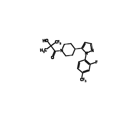 CC(O)(C(=O)N1CCC(c2ccnn2-c2ccc(C(F)(F)F)cc2F)CC1)C(F)(F)F